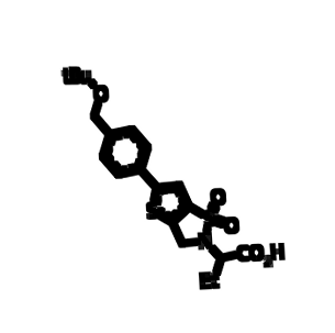 CCC(C(=O)O)N1Cc2sc(-c3ccc(COC(C)(C)C)cc3)cc2S1(=O)=O